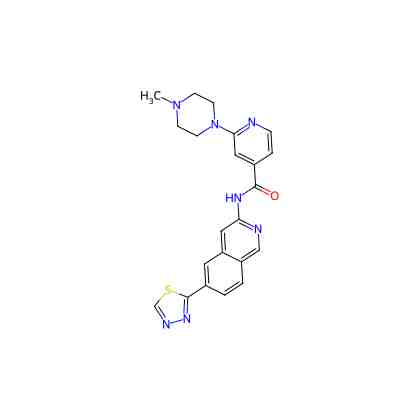 CN1CCN(c2cc(C(=O)Nc3cc4cc(-c5nncs5)ccc4cn3)ccn2)CC1